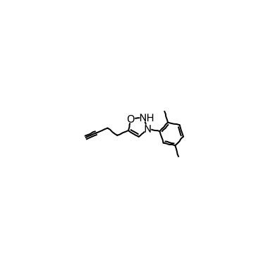 C#CCCC1=CN(c2cc(C)ccc2C)NO1